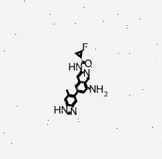 Cc1cc2[nH]cnc2cc1-c1cc(N)c2cnc(NC(=O)[C@@H]3C[C@@H]3F)cc2c1